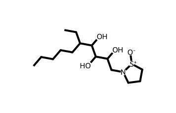 CCCCCC(CC)C(O)C(O)C(O)CN1CCC[S+]1[O-]